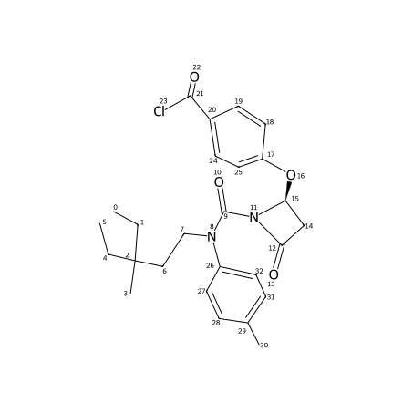 CCC(C)(CC)CCN(C(=O)N1C(=O)C[C@@H]1Oc1ccc(C(=O)Cl)cc1)c1ccc(C)cc1